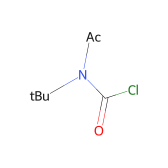 CC(=O)N(C(=O)Cl)C(C)(C)C